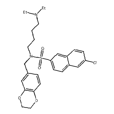 CCN(CC)CCCCN(Cc1ccc2c(c1)OCCO2)S(=O)(=O)c1ccc2cc(Cl)ccc2c1